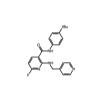 CC(C)(C)c1ccc(NC(=O)c2ccc(F)nc2NCc2ccncc2)cc1